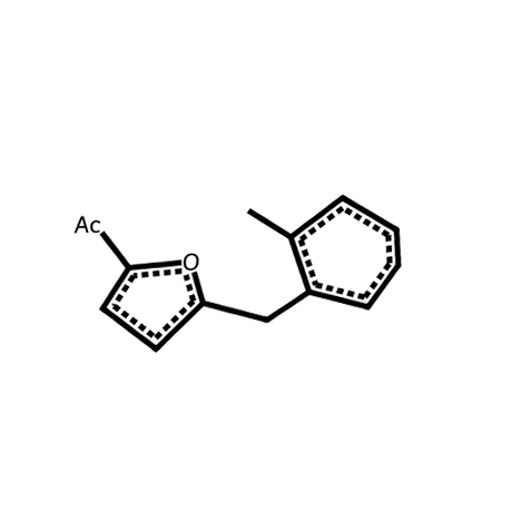 CC(=O)c1ccc(Cc2ccccc2C)o1